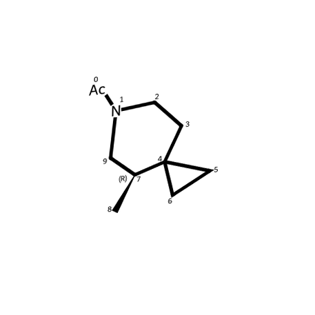 CC(=O)N1CCC2(CC2)[C@@H](C)C1